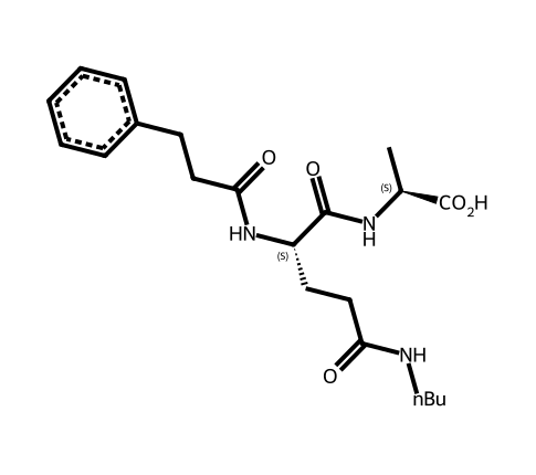 CCCCNC(=O)CC[C@H](NC(=O)CCc1ccccc1)C(=O)N[C@@H](C)C(=O)O